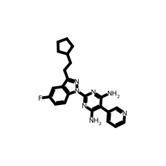 Nc1nc(-n2nc(CCC3CCCC3)c3cc(F)ccc32)nc(N)c1-c1cccnc1